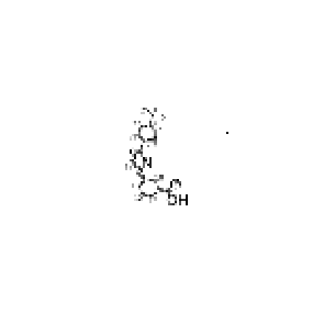 CC(C)c1ccc(-c2nc(C3=CC=CC(C(=O)O)C3)cs2)cc1